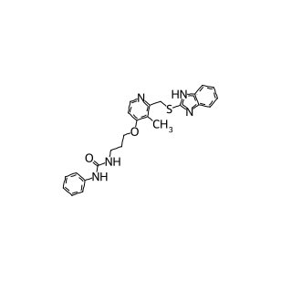 Cc1c(OCCCNC(=O)Nc2ccccc2)ccnc1CSc1nc2ccccc2[nH]1